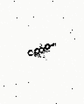 CC1(C)C2=C(C=C[C@@](C)(N3CCCCC3)C2)C(=O)c2c1[nH]c1cc(C#N)ccc21